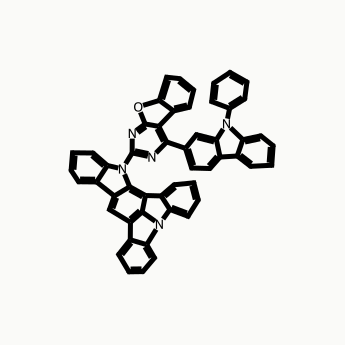 c1ccc(-n2c3ccccc3c3ccc(-c4nc(-n5c6ccccc6c6cc7c8ccccc8n8c9ccccc9c(c65)c78)nc5oc6ccccc6c45)cc32)cc1